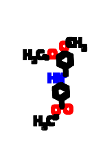 CCOC(=O)c1ccc(NCc2ccc(OC)c(OCC)c2)cc1